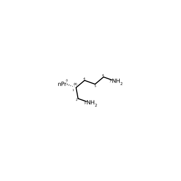 CCC[C@@H](CN)CCCN